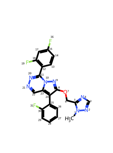 Cn1ncnc1COc1nn2c(-c3ccc(F)cc3F)nncc2c1-c1ccccc1F